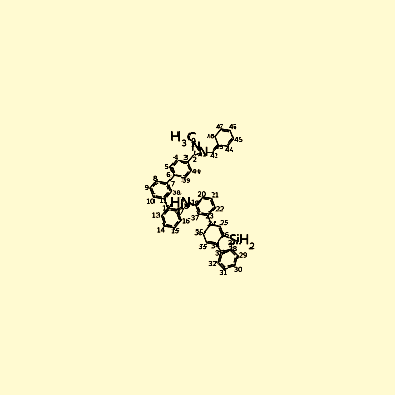 CN1C(c2ccc(-c3cccc(-c4ccccc4Nc4cccc(C5C=C6[SiH2]c7ccccc7C6=CC5)c4)c3)cc2)N1/C=C1/C=CC=CC1